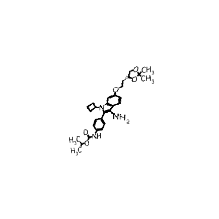 CC(C)OC(=O)Nc1ccc(-c2c(N)c3ccc(OCC[C@H]4COC(C)(C)O4)cc3n2C2CCC2)cc1